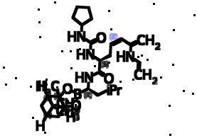 C=CNC(=C)/C=C\C[C@H](NC(=O)NC1CCCC1)C(=O)N[C@@H](CC(C)C)B1O[C@@H]2C[C@@H]3C[C@@H](C3(C)C)[C@]2(C)O1